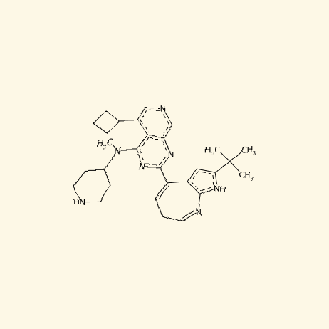 CN(c1nc(C2=CCC=Nc3[nH]c(C(C)(C)C)cc32)nc2cncc(C3CCC3)c12)C1CCNCC1